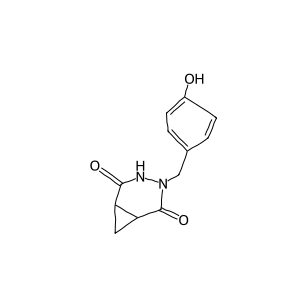 O=C1NN(Cc2ccc(O)cc2)C(=O)C2CC12